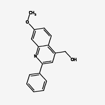 COc1ccc2c(CO)cc(-c3ccccc3)nc2c1